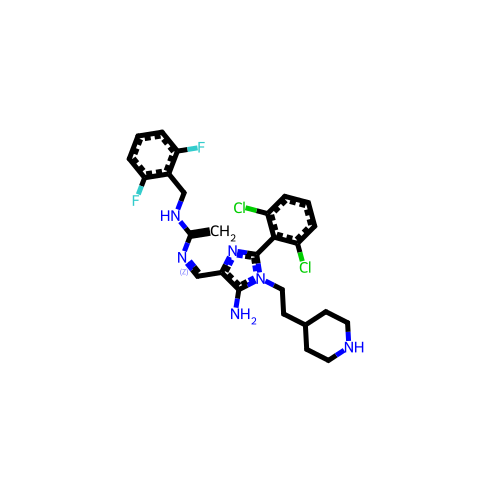 C=C(/N=C\c1nc(-c2c(Cl)cccc2Cl)n(CCC2CCNCC2)c1N)NCc1c(F)cccc1F